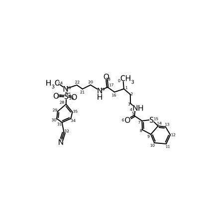 CC(CCNC(=O)c1cc2ccccc2s1)CC(=O)NCCCN(C)S(=O)(=O)c1ccc(C#N)cc1